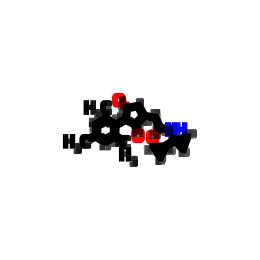 Cc1cc(C)c(C2C(=O)CC(CC(=O)NC3(C4CC4)CC3)C2=O)c(C)c1